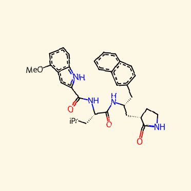 COc1cccc2[nH]c(C(=O)N[C@@H](CC(C)C)C(=O)N[C@H](Cc3ccc4ccccc4c3)C[C@@H]3CCNC3=O)cc12